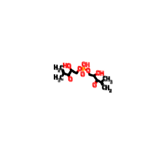 C=C(C)C(=O)C(O)COP(=O)(O)OCC(O)C(=O)C(=C)C